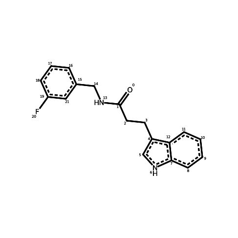 O=C(CCc1c[nH]c2ccccc12)NCc1cccc(F)c1